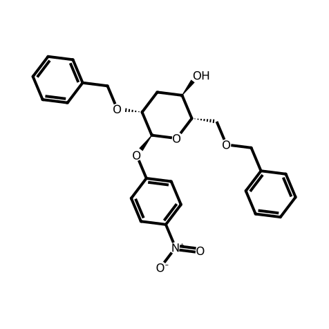 O=[N+]([O-])c1ccc(O[C@@H]2O[C@@H](COCc3ccccc3)[C@H](O)C[C@H]2OCc2ccccc2)cc1